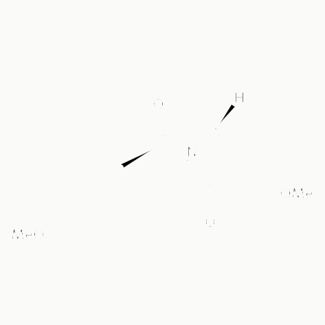 COc1ccc([C@H]2OC[C@@H]3CC(OC)C(=O)N32)cc1